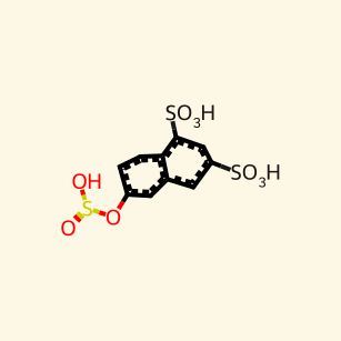 O=S(O)Oc1ccc2c(S(=O)(=O)O)cc(S(=O)(=O)O)cc2c1